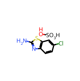 Nc1nc2ccc(Cl)cc2s1.O=S(=O)(O)O